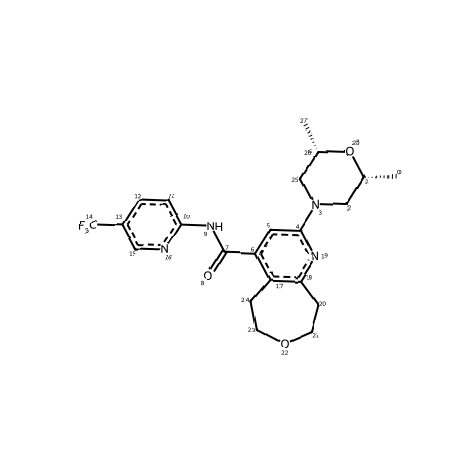 C[C@@H]1CN(c2cc(C(=O)Nc3ccc(C(F)(F)F)cn3)c3c(n2)CCOCC3)C[C@H](C)O1